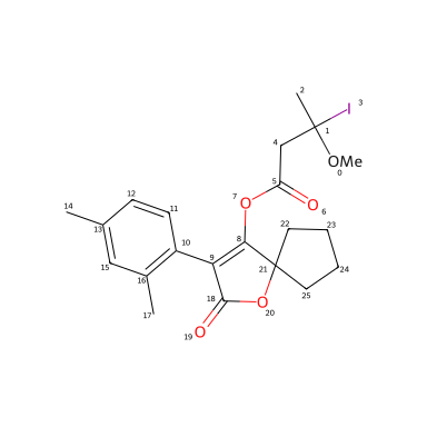 COC(C)(I)CC(=O)OC1=C(c2ccc(C)cc2C)C(=O)OC12CCCC2